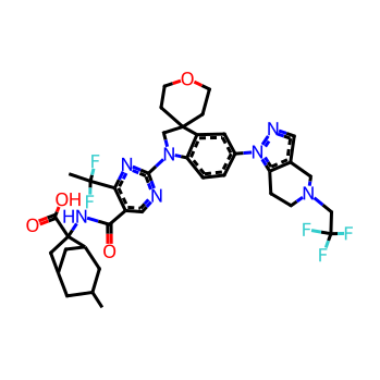 CC1CC2CC(C1)C(NC(=O)c1cnc(N3CC4(CCOCC4)c4cc(-n5ncc6c5CCN(CC(F)(F)F)C6)ccc43)nc1C(C)(F)F)(C(=O)O)C2